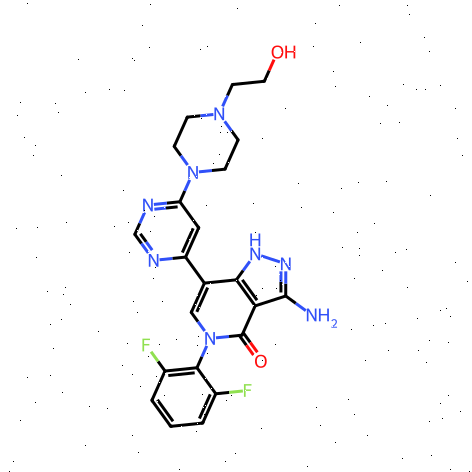 Nc1n[nH]c2c(-c3cc(N4CCN(CCO)CC4)ncn3)cn(-c3c(F)cccc3F)c(=O)c12